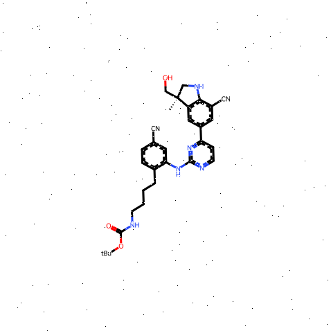 CC(C)(C)OC(=O)NCCCCc1ccc(C#N)cc1Nc1nccc(-c2cc(C#N)c3c(c2)[C@@](C)(CO)CN3)n1